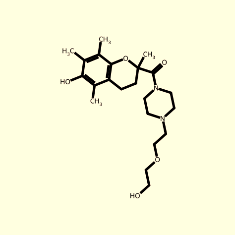 Cc1c(C)c2c(c(C)c1O)CCC(C)(C(=O)N1CCN(CCOCCO)CC1)O2